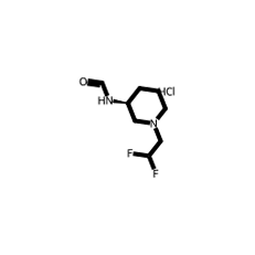 Cl.O=CN[C@H]1CCCN(CC(F)F)C1